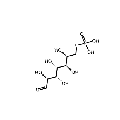 O=C[C@@H](O)[C@@H](O)[C@H](O)[C@H](O)[C@@H](O)COP(=O)(O)O